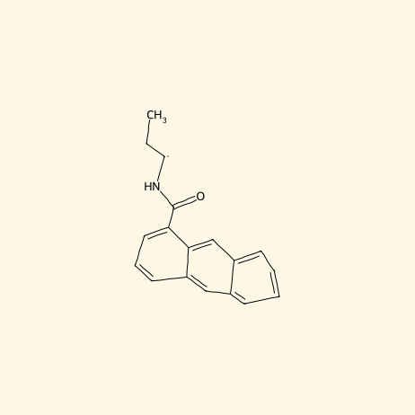 CC[CH]NC(=O)c1cccc2cc3ccccc3cc12